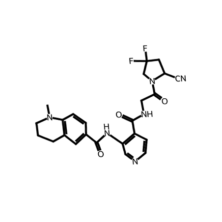 CN1CCCc2cc(C(=O)Nc3cnccc3C(=O)NCC(=O)N3CC(F)(F)CC3C#N)ccc21